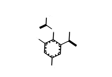 C=C(C)c1cc(C(C)(C)C)cc([N+](=O)[O-])c1OC(=O)OC